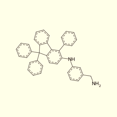 NCc1cccc(Nc2ccc3c(c2-c2ccccc2)-c2ccccc2C3(c2ccccc2)c2ccccc2)c1